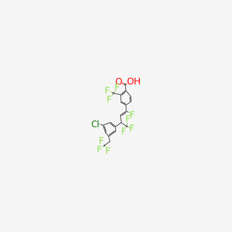 O=C(O)c1ccc(C(F)=CC(c2cc(Cl)cc(CC(F)(F)F)c2)C(F)(F)F)cc1C(F)(F)F